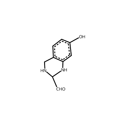 O=CC1NCc2ccc(O)cc2N1